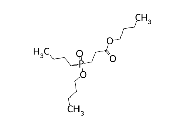 CCCCOC(=O)CCP(=O)(CCCC)OCCCC